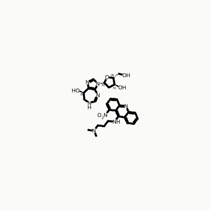 CN(C)CCCNc1c2ccccc2nc2cccc([N+](=O)[O-])c12.OC[C@H]1O[C@@H](n2cnc3c2N=CNC[C@H]3O)C[C@@H]1O